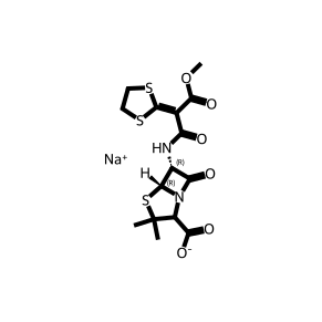 COC(=O)C(C(=O)N[C@@H]1C(=O)N2C(C(=O)[O-])C(C)(C)S[C@H]12)=C1SCCS1.[Na+]